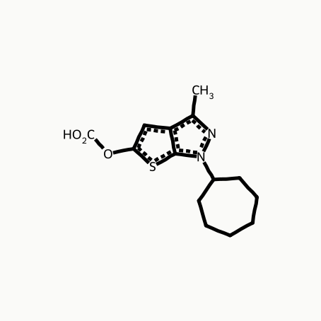 Cc1nn(C2CCCCCC2)c2sc(OC(=O)O)cc12